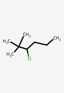 CCCC(Cl)C(C)(C)C